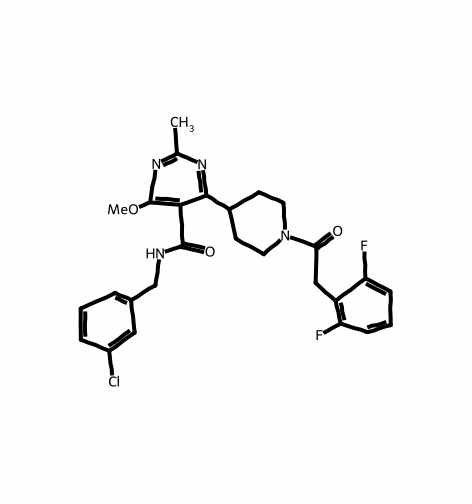 COc1nc(C)nc(C2CCN(C(=O)Cc3c(F)cccc3F)CC2)c1C(=O)NCc1cccc(Cl)c1